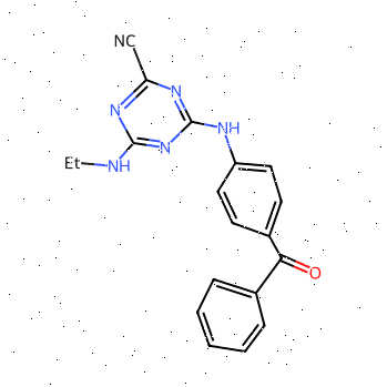 CCNc1nc(C#N)nc(Nc2ccc(C(=O)c3ccccc3)cc2)n1